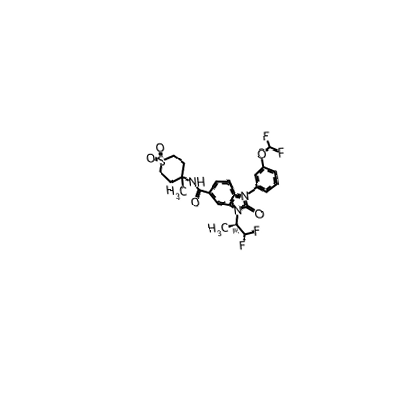 C[C@H](C(F)F)n1c(=O)n(-c2cccc(OC(F)F)c2)c2ccc(C(=O)NC3(C)CCS(=O)(=O)CC3)cc21